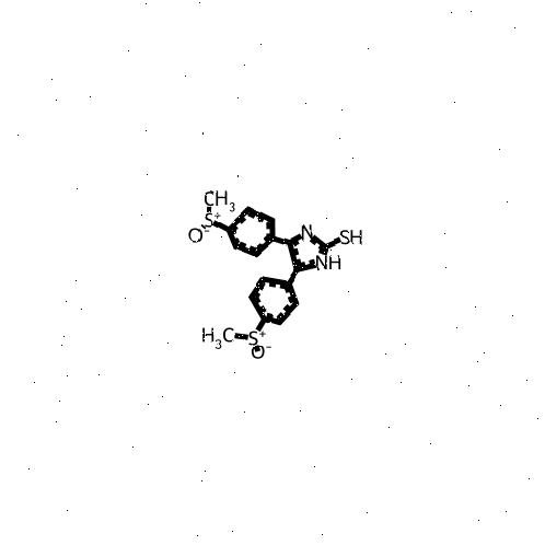 C[S+]([O-])c1ccc(-c2nc(S)[nH]c2-c2ccc([S+](C)[O-])cc2)cc1